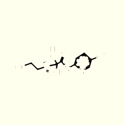 CC(C)CCS(=O)(=O)C(C)(C)C(=O)Nc1ccc(C(F)(F)F)cn1